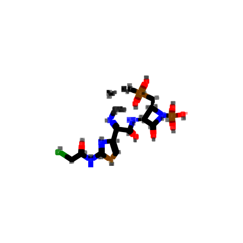 CON=C(C(=O)N[C@H]1C(=O)N(S(=O)(=O)[O-])[C@H]1CS(C)(=O)=O)c1csc(NC(=O)CCl)n1.[Na+]